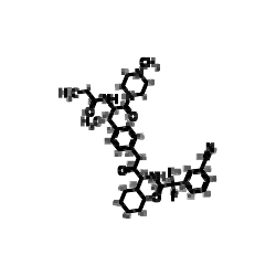 CCC(=O)N[C@@H](C(=O)N1CCN(C)CC1)[C@@H](C)c1ccc(CC(=O)[C@@H](NC(=O)C(F)(F)c2cccc(C#N)c2)C2CCCCC2)cc1